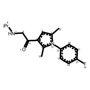 Cc1cc(C(=O)CNC(C)C)c(C)n1-c1ccc(F)cc1